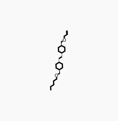 C=CCOC[C@H]1CC[C@H](CC[C@H]2CC[C@H](COCCCCC)CC2)CC1